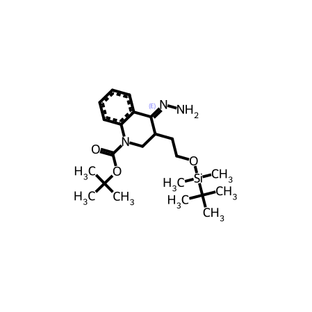 CC(C)(C)OC(=O)N1CC(CCO[Si](C)(C)C(C)(C)C)/C(=N\N)c2ccccc21